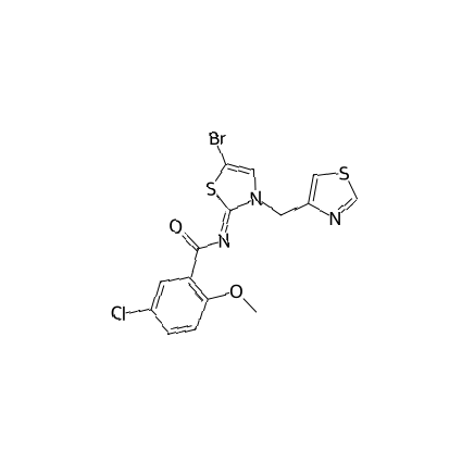 COc1ccc(Cl)cc1C(=O)N=c1sc(Br)cn1Cc1cscn1